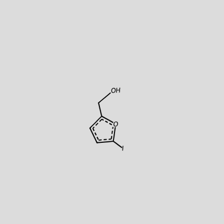 OCc1ccc(I)o1